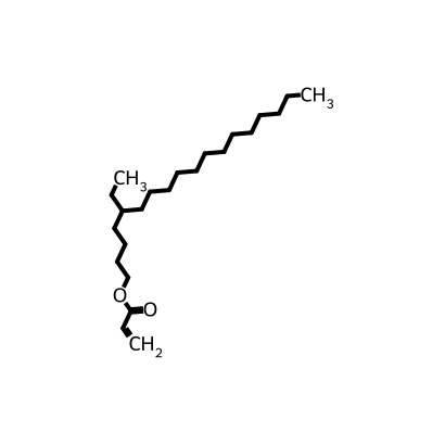 C=CC(=O)OCCCCC(CC)CCCCCCCCCCCCC